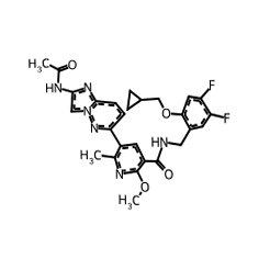 COc1nc(C)c(-c2ccc3nc(NC(C)=O)cn3n2)cc1C(=O)NCc1cc(F)c(F)cc1OCC1CC1